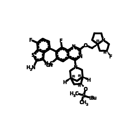 Cc1cc2c(N3C[C@@H]4C[C@H](C3)[C@H](O[Si](C)(C)C(C)(C)C)C4)nc(OC[C@@]34CCCN3C[C@H](F)C4)nc2c(F)c1-c1ccc(F)c2sc(N)c(C#N)c12